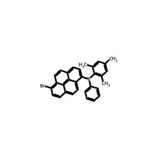 Cc1cc(C)c(B(c2ccccc2)c2ccc3ccc4c(Br)ccc5ccc2c3c54)c(C)c1